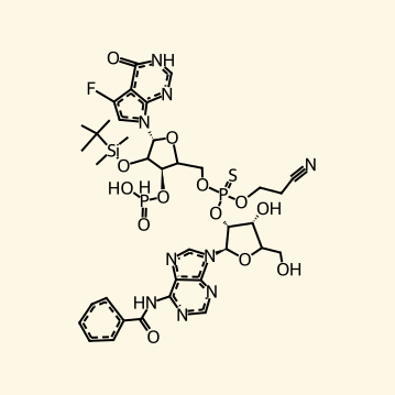 CC(C)(C)[Si](C)(C)OC1[C@H](O[PH](=O)O)C(COP(=S)(OCCC#N)O[C@@H]2[C@H](O)C(CO)O[C@H]2n2cnc3c(NC(=O)c4ccccc4)ncnc32)O[C@H]1n1cc(F)c2c(=O)[nH]cnc21